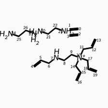 C=C.C=C.C=CCNCC[N+](CC=C)(CC=C)CC=C.NCCN.NCCN